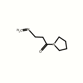 C=NCCC(=O)N1CCCC1